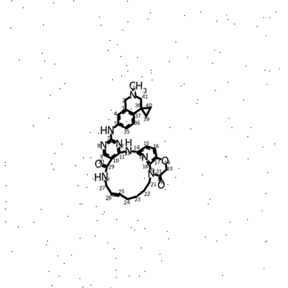 CN1Cc2cc(Nc3ncc4c(n3)Nc3ccc5c(n3)N(CCCC/C=C/CNC4=O)C(=O)CO5)ccc2C2(CC2)C1